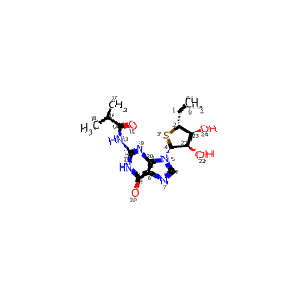 CC[C@H]1S[C@@H](n2cnc3c(=O)[nH]c(NC(=O)C(C)C)nc32)[C@H](O)[C@@H]1O